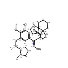 COc1c(Cl)nc(/C(=N/O)C2CCC[C@@]3(CCCCC34OCCO4)C2=O)nc1O[C@@H](C)[C@@H]1CCCN1C